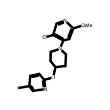 COc1cc(N2CCC(Oc3ccc(I)cn3)CC2)c(Cl)cn1